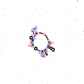 CC[C@H](NC(=O)[C@H](C)NC)C(=O)N1C[C@@H]2CC1C(=O)N[C@@H](c1ccccc1)C(=O)N[C@H](C(=O)O)Cc1ccc(cc1)C(=O)N[C@H]1C[C@@H](C(=O)N[C@@H](Cc3ccc4ccccc4c3)C(=O)N[C@H](C(=O)O)Cc3ccc(cc3)OC/C=C/CO2)N(C(=O)[C@@H](NC(=O)[C@H](C)NC)C(C)(C)C)C1